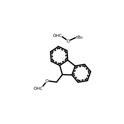 CC(C)(C)OC=O.O=[C]OCC1c2ccccc2-c2ccccc21